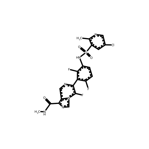 CNC(=O)c1ncn2c(F)c(-c3c(F)ccc(NS(=O)(=O)c4cc(Cl)cnc4C)c3F)ncc12